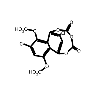 O=C(O)Oc1cc(Cl)c(OC(=O)O)c2c3oc(=O)oc(=O)oc(cc3Cl)c12